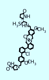 COc1cc(Cn2ncc3c(-c4cccc(-c5ccc(CN6CC[C@@H](C(=O)O)C6)c(OC)c5)c4Cl)cccc32)c(Cl)cc1CNCC([SiH3])[C@@H]1CCC(=O)N1